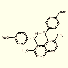 COc1ccc([C@@H]2N[C@@H](c3ccc(OC)cc3)c3c(C)ccc4ccc(C)c2c34)cc1